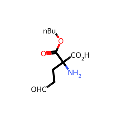 CCCCOC(=O)C(N)(CCC=O)C(=O)O